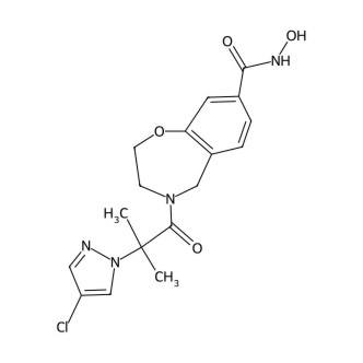 CC(C)(C(=O)N1CCOc2cc(C(=O)NO)ccc2C1)n1cc(Cl)cn1